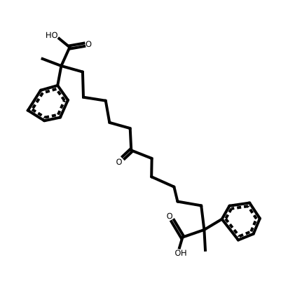 CC(CCCCCC(=O)CCCCCC(C)(C(=O)O)c1ccccc1)(C(=O)O)c1ccccc1